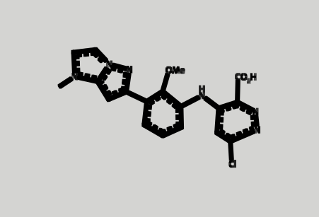 COc1c(Nc2cc(Cl)nnc2C(=O)O)cccc1-c1cc2n(C)ccn2n1